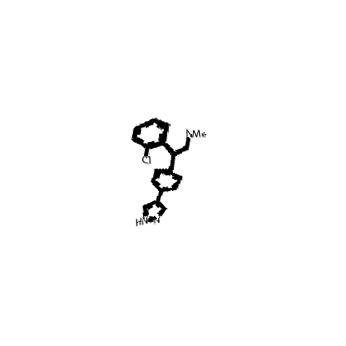 CNCC(c1ccc(-c2cn[nH]c2)cc1)c1ccccc1Cl